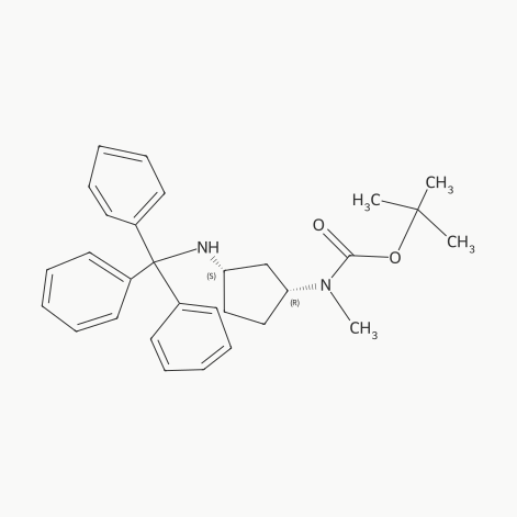 CN(C(=O)OC(C)(C)C)[C@@H]1CC[C@H](NC(c2ccccc2)(c2ccccc2)c2ccccc2)C1